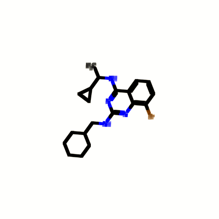 CC(Nc1nc(NCC2CCCCC2)nc2c(Br)cccc12)C1CC1